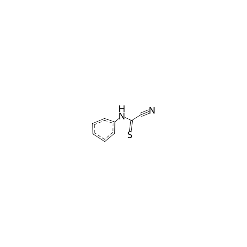 N#CC(=S)Nc1ccccc1